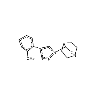 COc1ccccc1-c1cn(C2CN3CCC2CC3)nn1